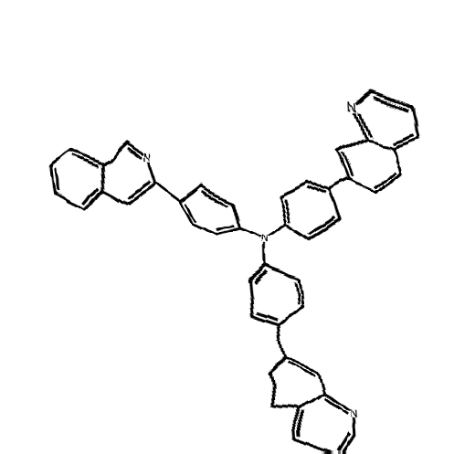 C1=C(c2ccc(N(c3ccc(-c4ccc5cccnc5c4)cc3)c3ccc(-c4cc5ccccc5cn4)cc3)cc2)CCc2cccnc21